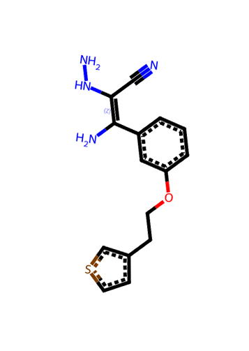 N#C/C(NN)=C(/N)c1cccc(OCCc2ccsc2)c1